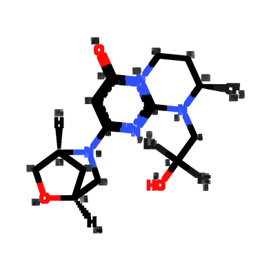 CCC(O)(CC)CN1c2nc(N3C[C@@H]4C[C@H]3CO4)cc(=O)n2CC[C@H]1C(F)(F)F